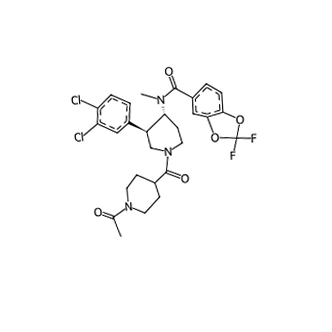 CC(=O)N1CCC(C(=O)N2CC[C@@H](N(C)C(=O)c3ccc4c(c3)OC(F)(F)O4)[C@H](c3ccc(Cl)c(Cl)c3)C2)CC1